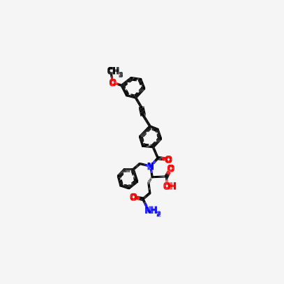 COc1cccc(C#Cc2ccc(C(=O)N(Cc3ccccc3)[C@@H](CCC(N)=O)C(=O)O)cc2)c1